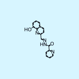 O=C(N/N=C/c1ccc2cccc(O)c2n1)c1ccccn1